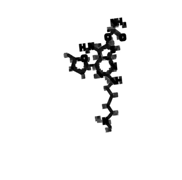 Cc1ccc(-c2nc(NCCCCN(C)C)nc3sc(OC(N)=O)c(N)c23)o1